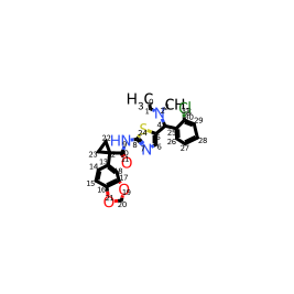 CCN(C)C(c1cnc(NC(=O)C2(c3ccc4c(c3)OCO4)CC2)s1)c1ccccc1Cl